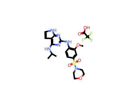 COc1cc(S(=O)(=O)N2CCOCC2)ccc1Nc1nc(NC(C)C)c2cc[nH]c2n1.O=C(O)C(F)(F)F